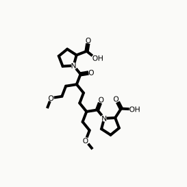 COCCC(CCC(CCOC)C(=O)N1CCCC1C(=O)O)C(=O)N1CCCC1C(=O)O